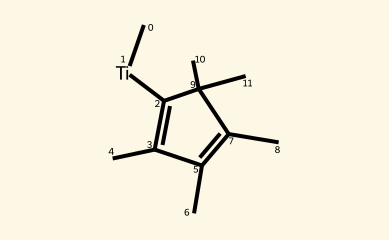 [CH3][Ti][C]1=C(C)C(C)=C(C)C1(C)C